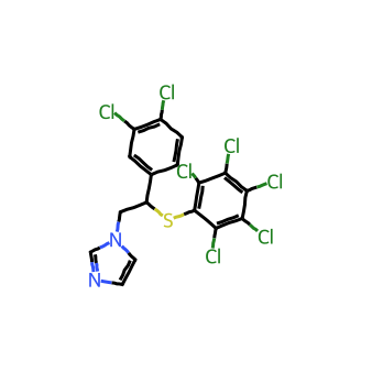 Clc1ccc(C(Cn2ccnc2)Sc2c(Cl)c(Cl)c(Cl)c(Cl)c2Cl)cc1Cl